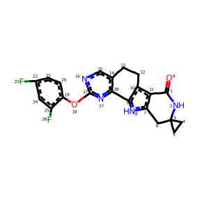 O=C1NC2(CC2)Cc2[nH]c3c(c21)CCc1cnc(Oc2ccc(F)cc2F)nc1-3